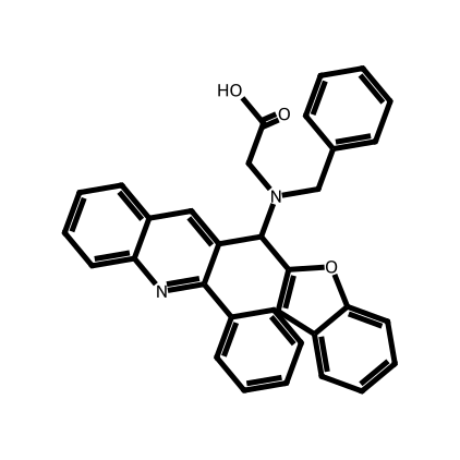 O=C(O)CN(Cc1ccccc1)C(c1cc2ccccc2o1)c1cc2ccccc2nc1-c1ccccc1